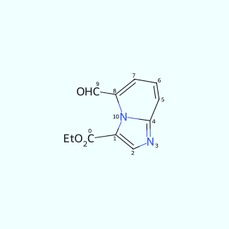 CCOC(=O)c1cnc2cccc(C=O)n12